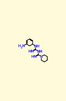 N=C(NC(=N)N1CCCCC1)NC1C=CC=C(N)C1